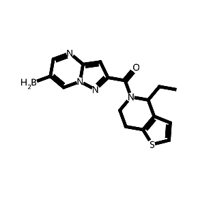 Bc1cnc2cc(C(=O)N3CCc4sccc4C3CC)nn2c1